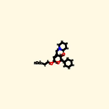 CCCCCCCCCCCCOC1C=C(CN2CCCCC2)C(=O)C(C2CCCCC2)O1